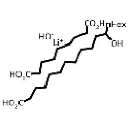 CCCCCCC(O)CCCCCCCCCCC(=O)O.O=C(O)CCCCCCCC(=O)O.[Li+].[OH-]